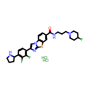 Cl.Cl.O=C(NCCCN1CCC(F)CC1)c1ccc2c(c1)sc1nc(-c3ccc(C4CCCN4)c(F)c3F)cn12